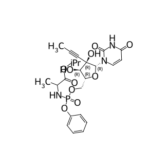 CC#C[C@@]1(O)[C@H](O)[C@@H](COP(=O)(NC(C)C(=O)OC(C)C)Oc2ccccc2)O[C@H]1n1ccc(=O)[nH]c1=O